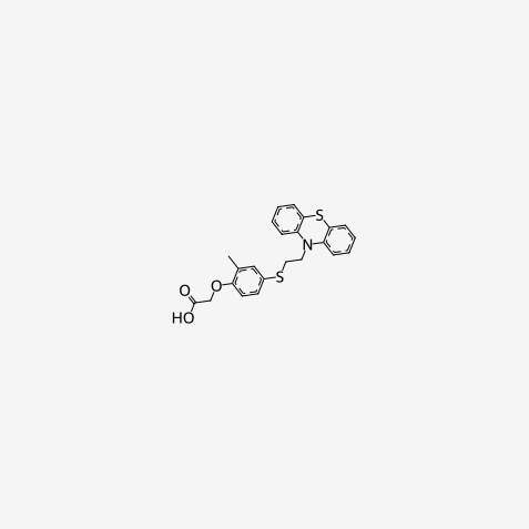 Cc1cc(SCCN2c3ccccc3Sc3ccccc32)ccc1OCC(=O)O